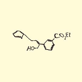 CCOC(=O)c1cccc(C(=CCCc2ccccc2)CO)c1